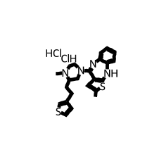 Cc1cc2c(s1)Nc1ccccc1N=C2N1CCN(C)C(CCc2ccsc2)C1.Cl.Cl